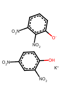 O=[N+]([O-])c1ccc(O)c([N+](=O)[O-])c1.O=[N+]([O-])c1cccc([O-])c1[N+](=O)[O-].[K+]